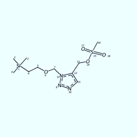 C[Si](C)(C)CCOCn1nncc1COS(C)(=O)=O